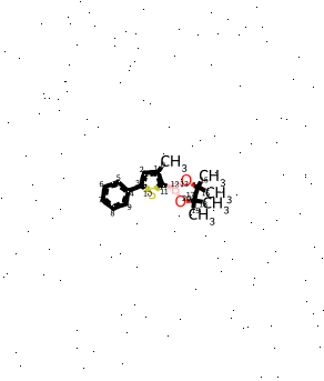 Cc1cc(-c2ccccc2)sc1B1OC(C)(C)C(C)(C)O1